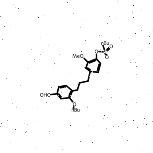 CCCCOc1cc(C=O)ccc1CCCc1ccc(OS(=O)(=O)CCCC)c(OC)c1